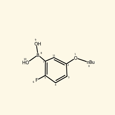 CCCCOc1ccc(F)c(B(O)O)c1